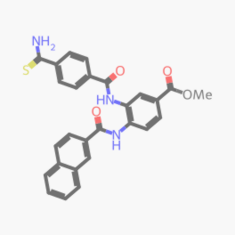 COC(=O)c1ccc(NC(=O)c2ccc3ccccc3c2)c(NC(=O)c2ccc(C(N)=S)cc2)c1